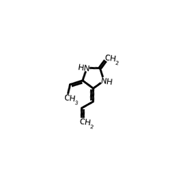 C=C/C=C1/NC(=C)N/C1=C/C